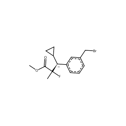 COC(=O)C(C)(F)[C@H](c1cccc(CBr)c1)C1CC1